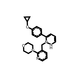 C1=CNN(Cc2cccnc2N2CCOCC2)C(c2ccc(OC3CC3)cc2)=C1